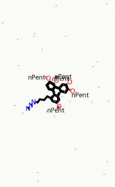 CCCCCOc1cc(CCCCN=[N+]=[N-])c2c(c1)c1cc(OCCCCC)c(OCCCCC)cc1c1c(OCCCCC)c(OCCCCC)ccc21